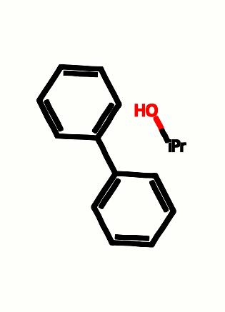 CC(C)O.c1ccc(-c2ccccc2)cc1